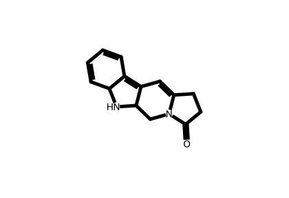 O=C1CCC2=CC3=C4C=CC=CC4NC3CN12